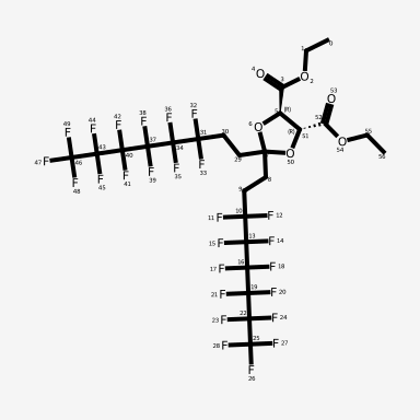 CCOC(=O)[C@@H]1OC(CCC(F)(F)C(F)(F)C(F)(F)C(F)(F)C(F)(F)C(F)(F)F)(CCC(F)(F)C(F)(F)C(F)(F)C(F)(F)C(F)(F)C(F)(F)F)O[C@H]1C(=O)OCC